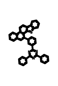 c1ccc(-c2nc(-c3ccccc3)nc(-c3cccc(-c4cc5ccccc5c5ccc6c7ccccc7sc6c45)c3)n2)cc1